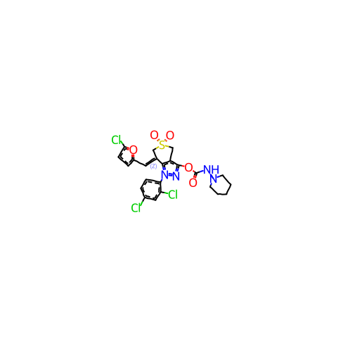 O=C(NN1CCCCC1)Oc1nn(-c2ccc(Cl)cc2Cl)c2c1CS(=O)(=O)C/C2=C\c1ccc(Cl)o1